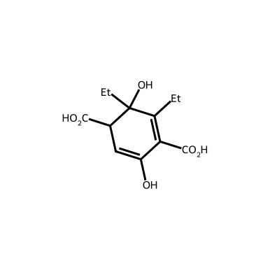 CCC1=C(C(=O)O)C(O)=CC(C(=O)O)C1(O)CC